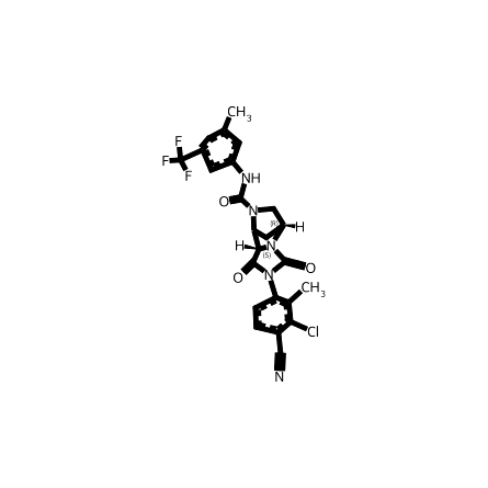 Cc1cc(NC(=O)N2C[C@H]3CC2[C@H]2C(=O)N(c4ccc(C#N)c(Cl)c4C)C(=O)N32)cc(C(F)(F)F)c1